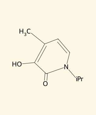 Cc1ccn(C(C)C)c(=O)c1O